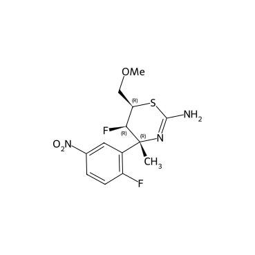 COC[C@H]1SC(N)=N[C@](C)(c2cc([N+](=O)[O-])ccc2F)[C@H]1F